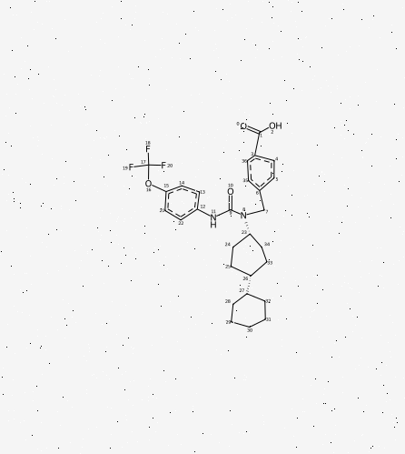 O=C(O)c1ccc(CN(C(=O)Nc2ccc(OC(F)(F)F)cc2)[C@H]2CC[C@@H](C3CCCCC3)CC2)cc1